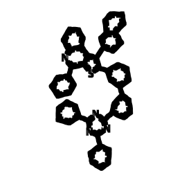 c1ccc(-c2nc(-c3ccccc3)nc(-c3cccc(-c4cccc(-c5sc6c(-c7ccccc7)nc7ccccc7c6c5-c5ccc6ccccc6c5)c4)c3)n2)cc1